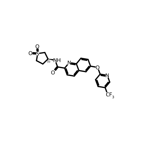 O=C(N[C@H]1CCS(=O)(=O)C1)c1ccc2cc(Oc3ccc(C(F)(F)F)cn3)ccc2n1